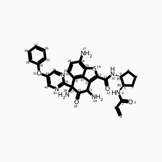 C=CC(=O)N[C@@H]1CCC[C@H]1NC(=O)c1sc2c(N)ccc3c2c1C(N)C(=O)C3(N)c1ncc(Oc2ccccc2)cn1